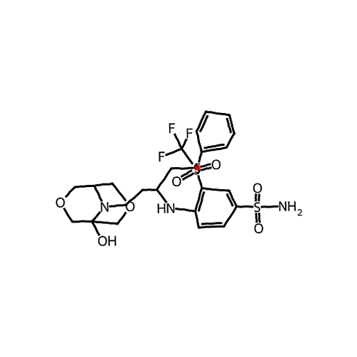 NS(=O)(=O)c1ccc(NC(CCN2C3COCC2(O)COC3)CSc2ccccc2)c(S(=O)(=O)C(F)(F)F)c1